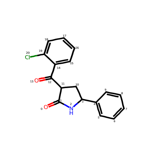 O=C1NC(c2ccccc2)CC1C(=O)c1ccccc1Cl